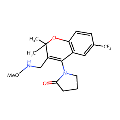 CONCC1=C(N2CCCC2=O)c2cc(C(F)(F)F)ccc2OC1(C)C